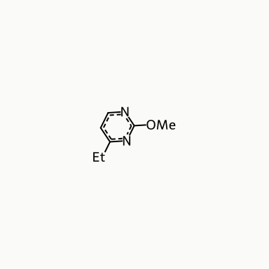 CCc1ccnc(OC)n1